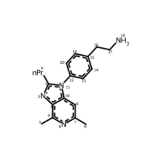 CCCc1nc2c(C)nc(C)cc2n1-c1ccc(CCN)cc1